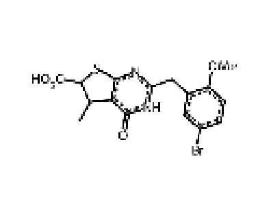 COc1ccc(Br)cc1Cc1nc2c(c(=O)[nH]1)C(C)C(C(=O)O)S2